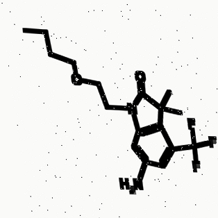 CCCCOCCN1C(=O)C(C)(C)c2c1cc(N)cc2C(F)(F)F